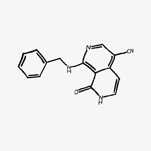 N#Cc1cnc(NCc2ccccc2)c2c(=O)[nH]ccc12